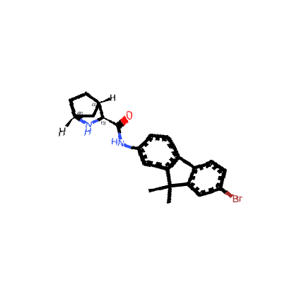 CC1(C)c2cc(Br)ccc2-c2ccc(NC(=O)[C@H]3N[C@@H]4CC[C@H]3C4)cc21